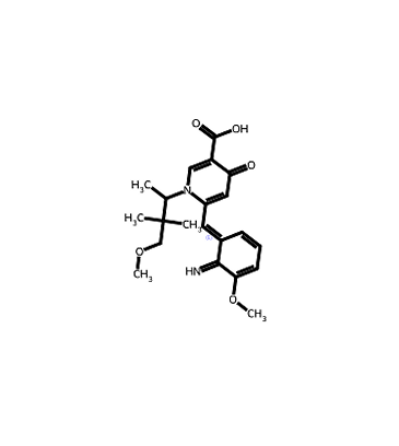 COCC(C)(C)C(C)n1cc(C(=O)O)c(=O)cc1/C=C1\C=CC=C(OC)C1=N